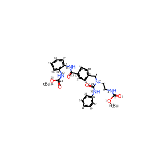 CC(C)(C)OC(=O)NCCN(Cc1ccc(C(=O)Nc2ccccc2NC(=O)OC(C)(C)C)cc1)C(=O)Nc1ccccc1